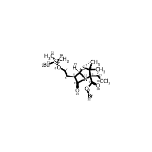 CC1(C)S[C@@H]2[C@H](CCO[Si](C)(C)C(C)(C)C)C(=O)N2[C@@]1(CC(Cl)(Cl)Cl)C(=O)OBr